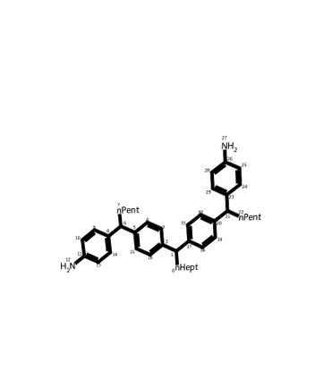 CCCCCCCC(c1ccc(C(CCCCC)c2ccc(N)cc2)cc1)c1ccc(C(CCCCC)c2ccc(N)cc2)cc1